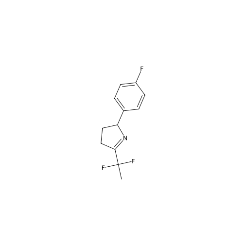 CC(F)(F)C1=NC(c2ccc(F)cc2)CC1